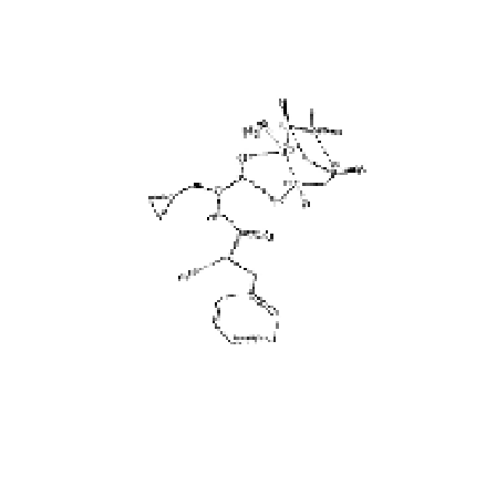 CC1(C)[C@@H]2C[C@H]3OB([C@H](CC4CC4)NC(=O)C(N)Cc4ccccc4)O[C@@]3(N)[C@H]1C2